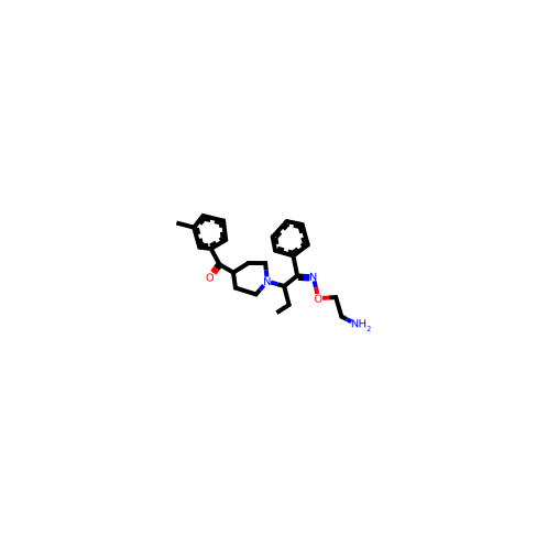 CCC(C(=NOCCN)c1ccccc1)N1CCC(C(=O)c2cccc(C)c2)CC1